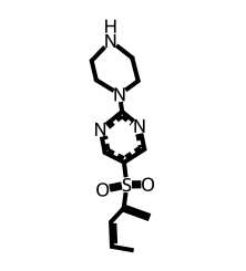 C=C(/C=C\C)S(=O)(=O)c1cnc(N2CCNCC2)nc1